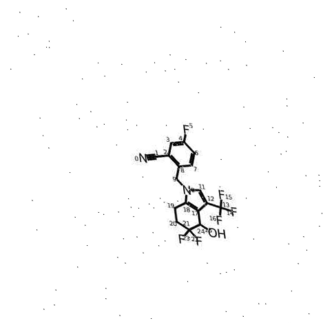 N#Cc1cc(F)ccc1Cn1cc(C(F)(F)F)c2c1CCC(F)(F)C2O